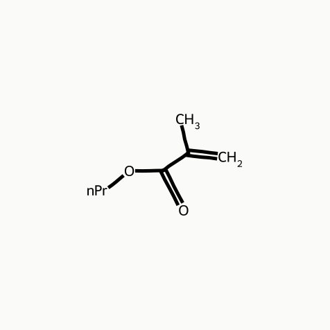 C=C(C)C(=O)OC[CH]C